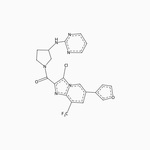 O=C(c1nc2c(C(F)(F)F)cc(-c3ccoc3)cn2c1Cl)N1CCC(Nc2ncccn2)C1